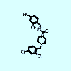 N#Cc1ccc(CNC(=O)N2CCN(Cc3ccc(Cl)cc3Cl)CC2)c(C(F)(F)F)c1